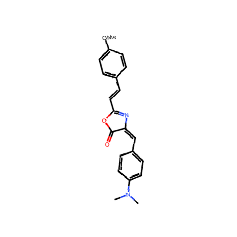 COc1ccc(C=CC2=NC(=Cc3ccc(N(C)C)cc3)C(=O)O2)cc1